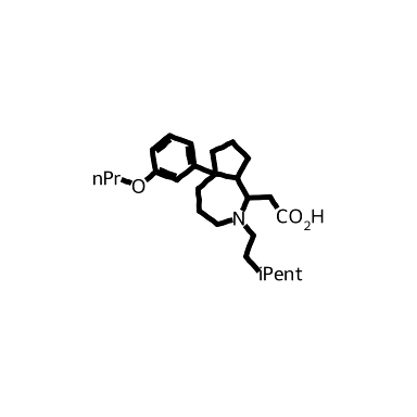 CCCOc1cccc(C23CCCC2C(CC(=O)O)N(CCC(C)CCC)CCC3)c1